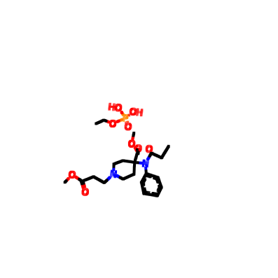 CCC(=O)N(c1ccccc1)C1(C(=O)OC)CCN(CCC(=O)OC)CC1.CCOP(=O)(O)O